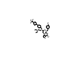 CCN(CC)CCN(Cc1ccc(-c2ccc(C(F)(F)F)cc2)cc1)C(=O)Cn1c(SCc2ccc(F)cc2)nc(=O)c2sccc21